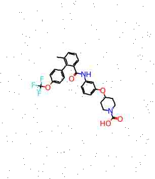 Cc1cccc(C(=O)Nc2cccc(OC3CCN(C(=O)O)CC3)c2)c1-c1ccc(OC(F)(F)F)cc1